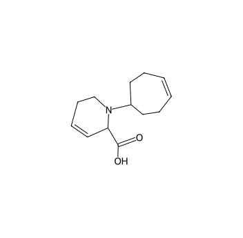 O=C(O)C1C=CCCN1C1CCC=CCC1